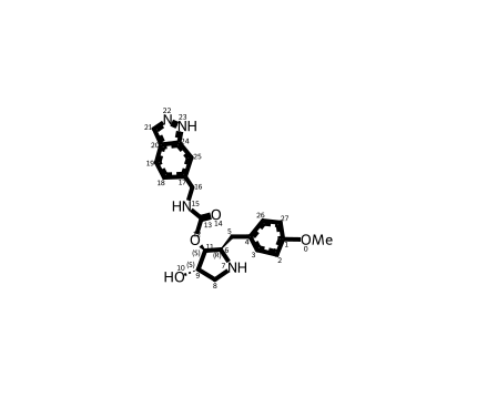 COc1ccc(C[C@H]2NC[C@H](O)[C@H]2OC(=O)NCc2ccc3cn[nH]c3c2)cc1